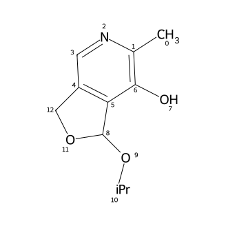 Cc1ncc2c(c1O)C(OC(C)C)OC2